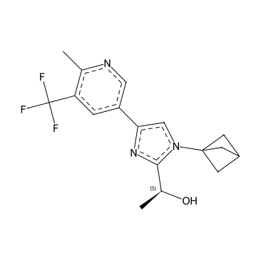 Cc1ncc(-c2cn(C34CC(C3)C4)c([C@H](C)O)n2)cc1C(F)(F)F